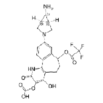 N[C@@H]1[C@H]2CN(c3ccc4c(c3)C(OC(=O)C(F)(F)F)CCc3c-4[nH]c(=O)c(OC(=O)O)c3O)C[C@@H]12